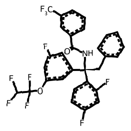 O=C(N[C@@](Cc1ccccc1)(c1cc(F)cc(OC(F)(F)C(F)F)c1)c1ccc(F)cc1F)c1cccc(C(F)(F)F)c1